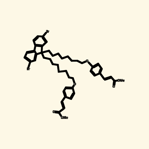 COC(=O)/C=C/c1ccc(OCCCCCCCCC2(CCCCCCCCOc3ccc(/C=C/C(=O)OC)cc3)c3cc(Br)ccc3-c3ccc(Br)cc32)cc1